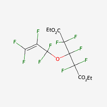 CCOC(=O)C(F)(F)C(F)(OC(F)(F)C(F)=C(F)F)C(F)(F)C(=O)OCC